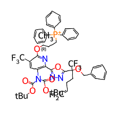 C=CCCC(OCc1ccccc1)(c1nnc(-c2nc(O[C@H](C)CC[P+](c3ccccc3)(c3ccccc3)c3ccccc3)c(C(F)(F)F)cc2N(C(=O)OC(C)(C)C)C(=O)OC(C)(C)C)o1)C(F)(F)F